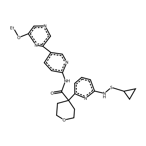 CCOc1cncc(-c2ccc(NC(=O)C3(c4cccc(NSC5CC5)n4)CCOCC3)nc2)n1